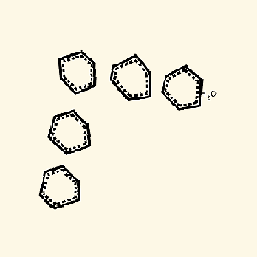 O.c1ccccc1.c1ccccc1.c1ccccc1.c1ccccc1.c1ccccc1